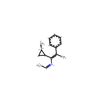 C/C=N\C(=C(/C)c1ccccc1)C1C[C@H]1C